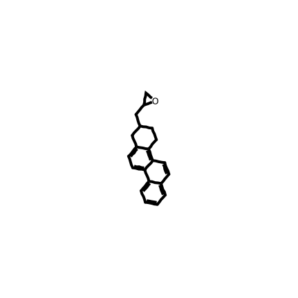 c1ccc2c(c1)ccc1c3c(ccc12)CC(CC1CO1)CC3